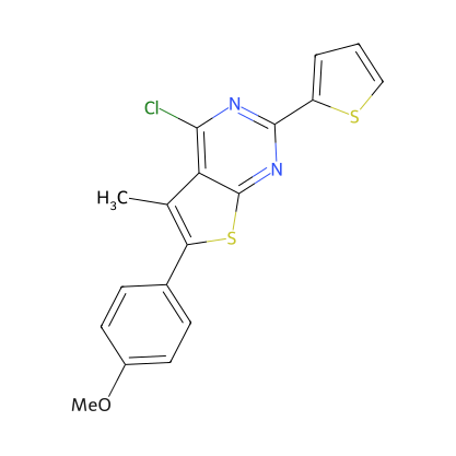 COc1ccc(-c2sc3nc(-c4cccs4)nc(Cl)c3c2C)cc1